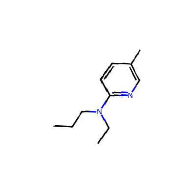 CCCN(CC)c1ccc(C)cn1